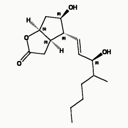 CCCCC(C)[C@H](O)C=C[C@@H]1[C@H]2CC(=O)O[C@H]2C[C@H]1O